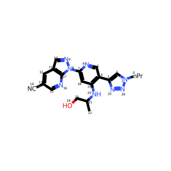 CCCn1cc(-c2cnc(-n3ncc4cc(C#N)cnc43)cc2NC(C)CO)nn1